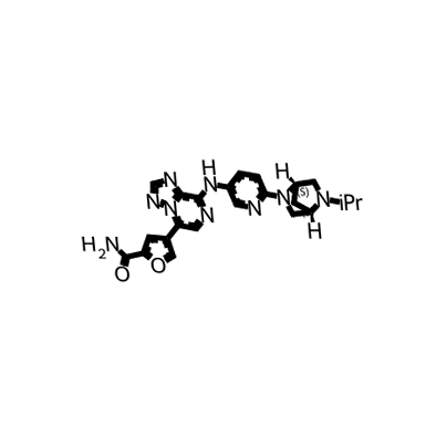 CC(C)N1C[C@@H]2C[C@H]1CN2c1ccc(Nc2ncc(-c3coc(C(N)=O)c3)n3ncnc23)cn1